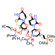 COP(=O)(/C=C/[C@@H]1CN(P(=O)(OC[C@H]2O[C@@H](n3ccc(=O)[nH]c3=O)[C@H](F)[C@@H]2OP(OCCC#N)N(C(C)C)C(C)C)N(C)C)C[C@H](n2ccc(=O)[nH]c2=O)O1)OC